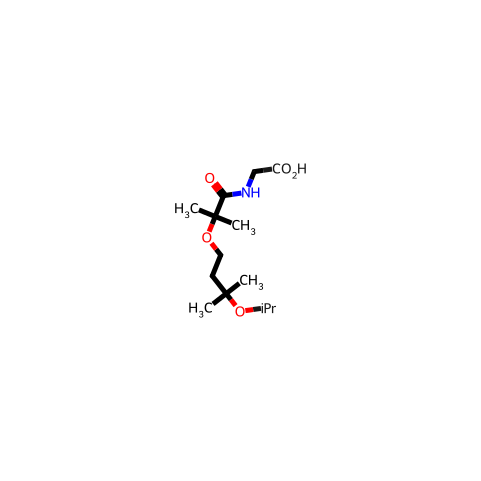 CC(C)OC(C)(C)CCOC(C)(C)C(=O)NCC(=O)O